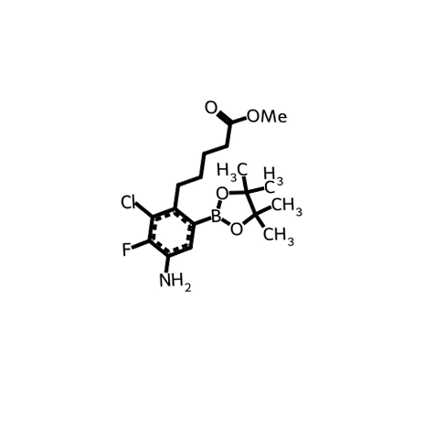 COC(=O)CCCCc1c(B2OC(C)(C)C(C)(C)O2)cc(N)c(F)c1Cl